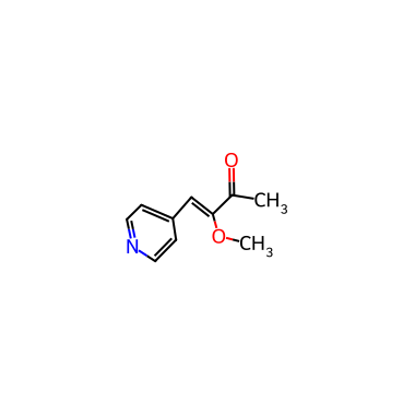 COC(=Cc1ccncc1)C(C)=O